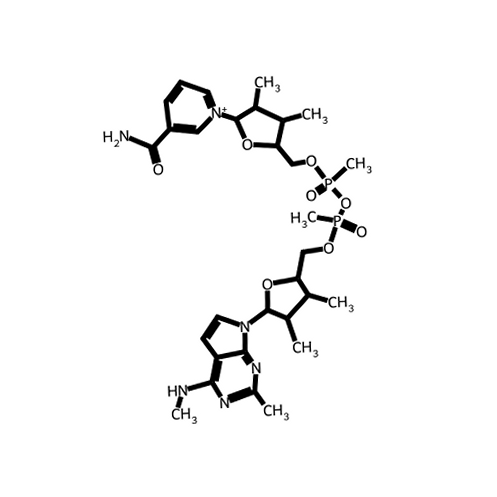 CNc1nc(C)nc2c1ccn2C1OC(COP(C)(=O)OP(C)(=O)OCC2OC([n+]3cccc(C(N)=O)c3)C(C)C2C)C(C)C1C